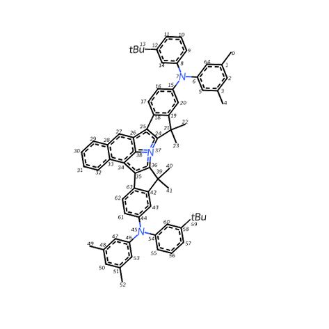 Cc1cc(C)cc(N(c2cccc(C(C)(C)C)c2)c2ccc3c(c2)C(C)(C)c2c-3c3cc4ccccc4c4c5c(n2c34)C(C)(C)c2cc(N(c3cc(C)cc(C)c3)c3cccc(C(C)(C)C)c3)ccc2-5)c1